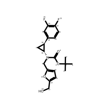 CC(C)(C)OC(=O)N(Cc1ccc(CO)o1)[C@@H]1C[C@H]1c1ccc(F)c(F)c1